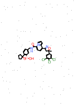 CC1(c2cc(Cl)c(Cl)c(Cl)c2)CC(c2ccc(C(=O)NCc3ccc4c(c3)B(O)OC43CCCC3)n3cccc23)=NO1